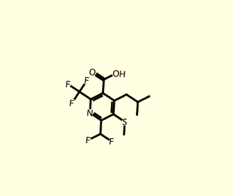 CSc1c(C(F)F)nc(C(F)(F)F)c(C(=O)O)c1CC(C)C